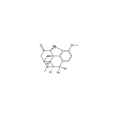 [2H]C1([2H])c2ccc(OC)c3c2[C@]24CCN(C)[C@H]1[C@]2([2H])CCC(=O)C4([2H])O3